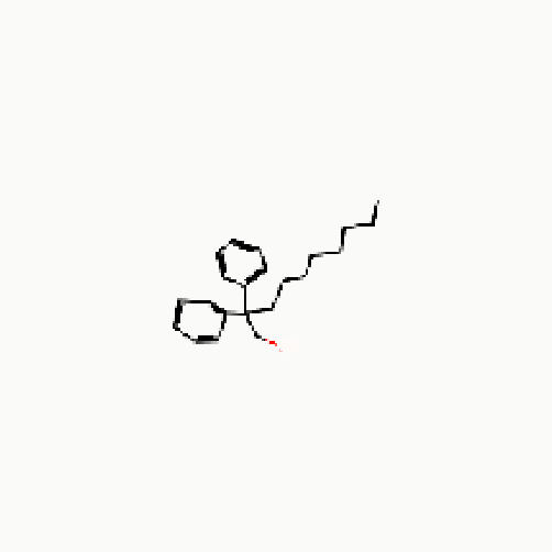 CCCCCCCCC(CO)(c1ccccc1)c1ccccc1